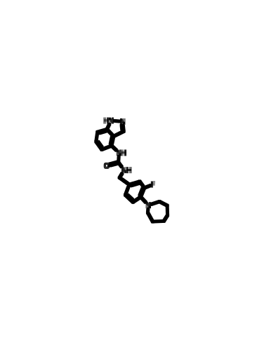 O=C(NCc1ccc(N2CCCCCC2)c(F)c1)Nc1cccc2[nH]ncc12